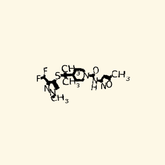 Cc1cc(NC(=O)N2CCC(C(C)(C)Sc3cn(C)nc3C(F)F)CC2)no1